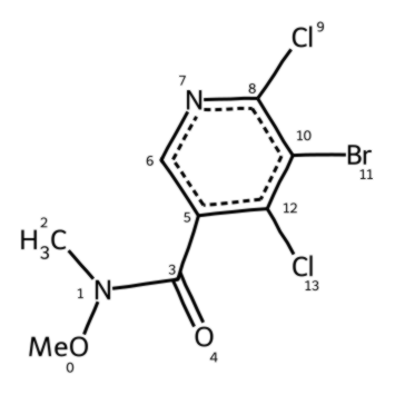 CON(C)C(=O)c1cnc(Cl)c(Br)c1Cl